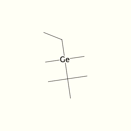 C[CH2][Ge]([CH3])([CH3])[C](C)(C)C